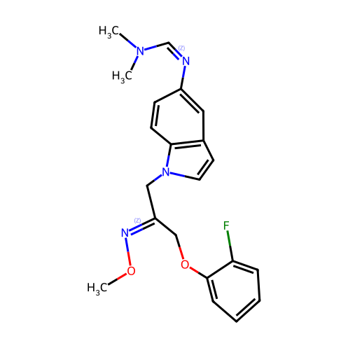 CO/N=C(\COc1ccccc1F)Cn1ccc2cc(/N=C\N(C)C)ccc21